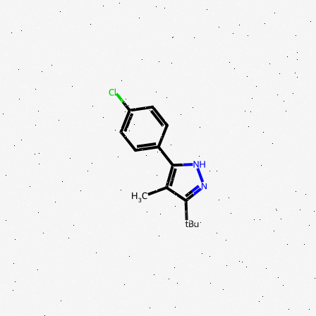 Cc1c(C(C)(C)C)n[nH]c1-c1ccc(Cl)cc1